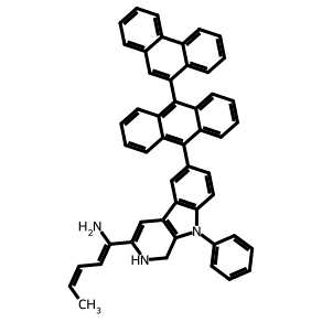 C/C=C\C=C(/N)C1=Cc2c(n(-c3ccccc3)c3ccc(-c4c5ccccc5c(-c5cc6ccccc6c6ccccc56)c5ccccc45)cc23)CN1